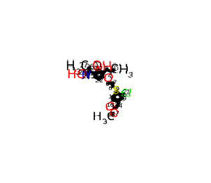 CCCc1c(OCCCSc2ccc(CC(=O)OC)cc2Cl)ccc(C(CC)=NO)c1O